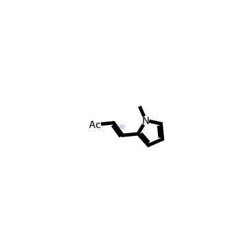 CC(=O)/C=C/c1cccn1C